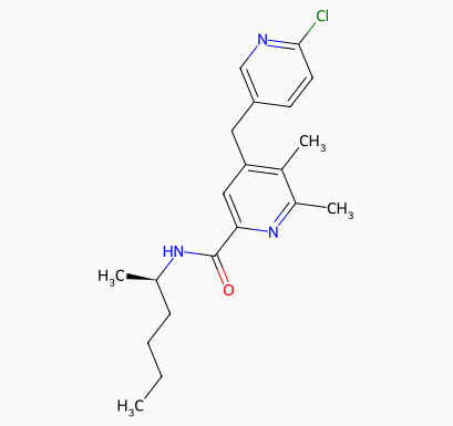 CCCC[C@@H](C)NC(=O)c1cc(Cc2ccc(Cl)nc2)c(C)c(C)n1